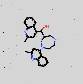 Cc1cc(C(O)C2CNCCN(c3cc(C)nc4ccccc34)C2)c2ccccc2n1